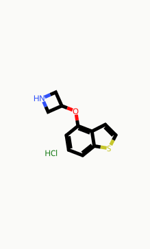 Cl.c1cc(OC2CNC2)c2ccsc2c1